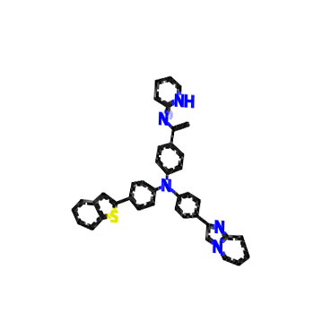 C=C(/N=c1/cccc[nH]1)c1ccc(N(c2ccc(-c3cn4ccccc4n3)cc2)c2ccc(-c3cc4ccccc4s3)cc2)cc1